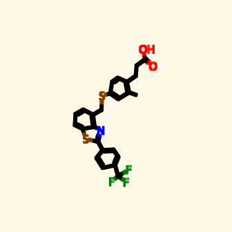 Cc1cc(SCc2cccc3sc(-c4ccc(C(F)(F)F)cc4)nc23)ccc1CCC(=O)O